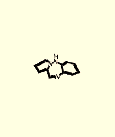 C1=Nc2ccccc2Nn2cccc21